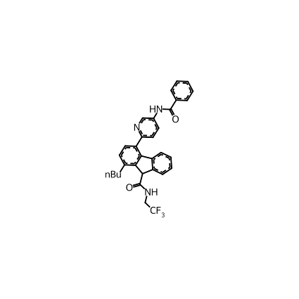 CCCCc1ccc(-c2ccc(NC(=O)c3ccccc3)cn2)c2c1C(C(=O)NCC(F)(F)F)c1ccccc1-2